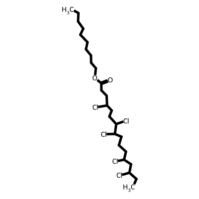 CCCCCCCCCCOC(=O)CCC(Cl)CCC(Cl)C(Cl)CCCC(Cl)CC(Cl)CC